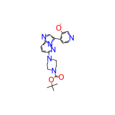 COc1cnccc1-c1cnc2ccc(N3CCN(C(=O)OC(C)(C)C)CC3)nn12